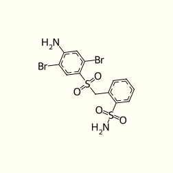 Nc1cc(Br)c(S(=O)(=O)Cc2ccccc2S(N)(=O)=O)cc1Br